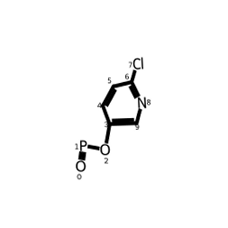 O=POc1ccc(Cl)nc1